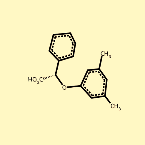 Cc1cc(C)cc(O[C@H](C(=O)O)c2ccccc2)c1